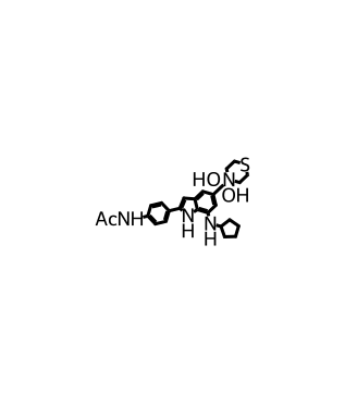 CC(=O)Nc1ccc(-c2cc3cc(C(O)(O)N4CCSCC4)cc(NC4CCCC4)c3[nH]2)cc1